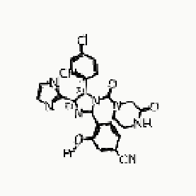 CC(C)Oc1cc(C#N)ccc1C1=N[C@@H](c2nccn2C)[C@@H](c2ccc(Cl)cc2)N1C(=O)N1CCNC(=O)C1